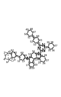 CC1(C)CCC(C)(C)c2cc(-c3ccc(-n4c5ccccc5c5c6c7ccccc7n(-c7nc(-c8ccccc8)nc(-c8ccc(-c9ccccc9)cc8)n7)c6ccc54)cc3)ccc21